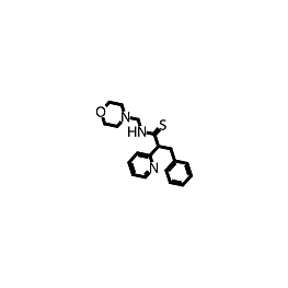 S=C(NCN1CCOCC1)C(Cc1ccccc1)c1ccccn1